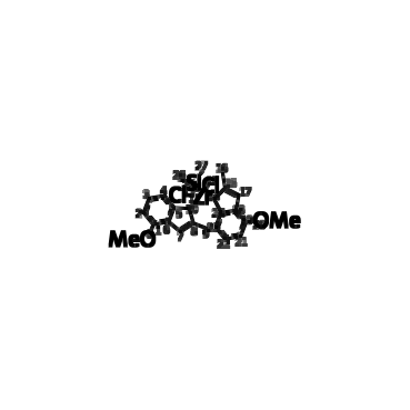 COc1cccc2c1C=C(C)[CH]2[Zr]([Cl])([Cl])([CH]1C(C)=Cc2c(OC)cccc21)=[Si](C)C